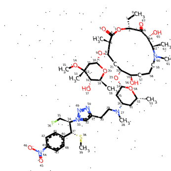 CC[C@H]1OC(=O)[C@H](C)[C@@H](O[C@H]2C[C@@](C)(OC)[C@@H](O)[C@H](C)O2)C[C@@H](O[C@H]2C[C@@H](N(C)CCc3cn([C@H](CF)[C@H](SC)c4ccc([N+](=O)[O-])cc4)nn3)C[C@@H](C)O2)[C@H](O)CCCN(C)[C@H](C)[C@@H](O)C1=O